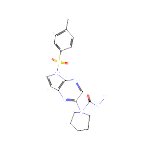 Cc1ccc(S(=O)(=O)n2ccc3nc([N+]4(C(=O)NN)CCCCC4)cnc32)cc1